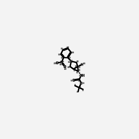 CC(C)(C)OC(=O)N[C@@H]1C2CN(c3ccccc3[N+](=O)[O-])C[C@@H]21